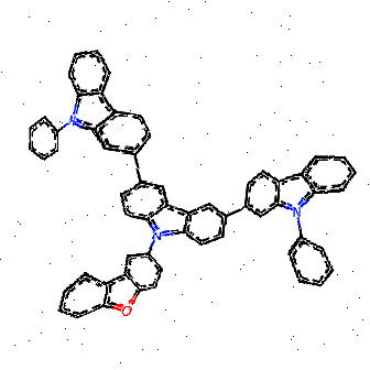 c1ccc(-n2c3ccccc3c3ccc(-c4ccc5c(c4)c4cc(-c6ccc7c8ccccc8n(-c8ccccc8)c7c6)ccc4n5-c4ccc5oc6ccccc6c5c4)cc32)cc1